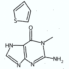 Cn1c(N)nc2nc[nH]c2c1=O.c1ccsc1